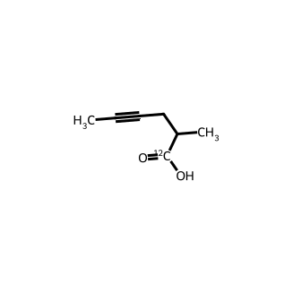 CC#CCC(C)[12C](=O)O